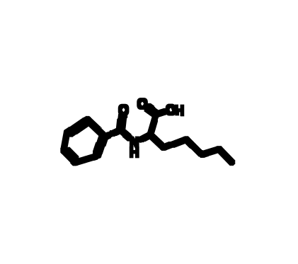 CCCCCC(NC(=O)c1ccccc1)C(=O)O